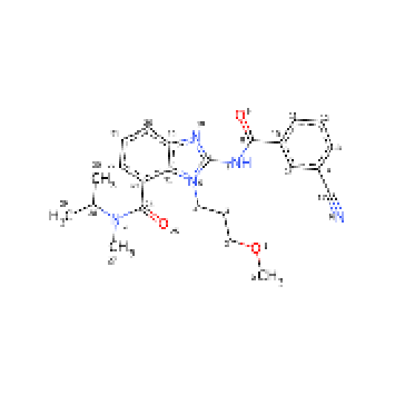 COCCCn1c(NC(=O)c2cccc(C#N)c2)nc2cccc(C(=O)N(C)C(C)C)c21